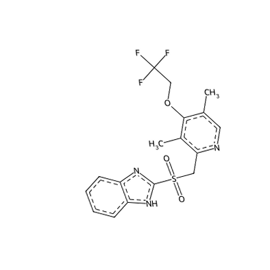 Cc1cnc(CS(=O)(=O)c2nc3ccccc3[nH]2)c(C)c1OCC(F)(F)F